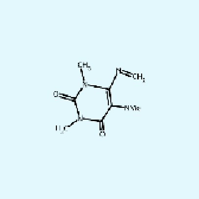 C=Nc1c(NC)c(=O)n(C)c(=O)n1C